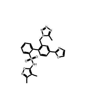 Cc1noc(NS(=O)(=O)c2ccccc2-c2ccc(-c3ncco3)cc2Cn2nnnc2C)c1C